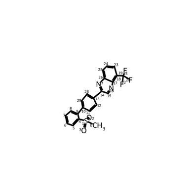 CS(=O)(=O)c1ccccc1-c1ccc(-c2cnc3c(C(F)(F)F)cccc3n2)cc1